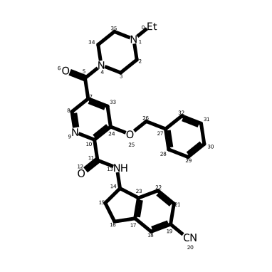 CCN1CCN(C(=O)c2cnc(C(=O)NC3CCc4cc(C#N)ccc43)c(OCc3ccccc3)c2)CC1